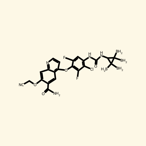 BC1(B)C(NC(=O)Nc2cc(F)c(Oc3ccnc4cc(OCC#N)c(C(N)=O)cc34)c(F)c2Cl)C1(B)B